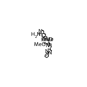 COCc1nn(Cc2cnc(N3CCCC3)nc2)cc1C(=O)NCc1cc2ccnc(N)c2cc1OC